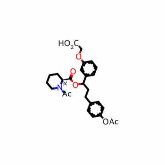 CC(=O)Oc1ccc(CCC(OC(=O)[C@@H]2CCCCN2C(C)=O)c2cccc(OCC(=O)O)c2)cc1